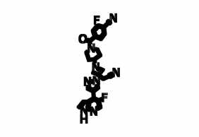 N#CCC1(n2cc(-c3c(F)cnc4[nH]ccc34)cn2)CN(C2CCN(C(=O)c3ccc(C#N)c(F)c3)CC2)C1